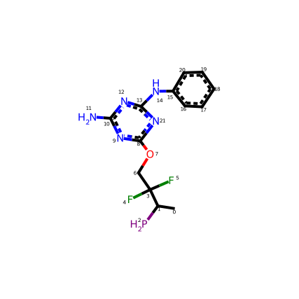 CC(P)C(F)(F)COc1nc(N)nc(Nc2ccccc2)n1